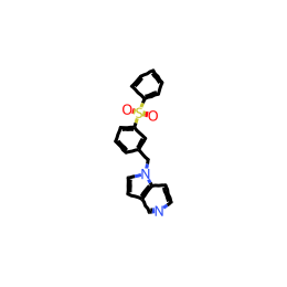 O=S(=O)(c1ccccc1)c1cccc(Cn2ccc3cnccc32)c1